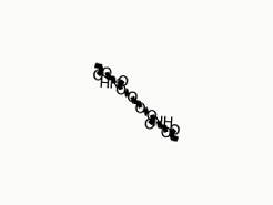 C=CC(=O)OCCNC(=O)OCCOCCOCCOC(=O)NCCOC(=O)C=C